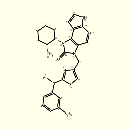 CC(=O)N(c1cccc(C)c1)c1nc(Cn2c(=O)n([C@H]3CCCC[C@H]3C)c3c4cc[nH]c4ncc32)cs1